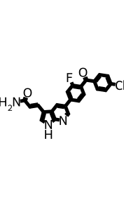 NC(=O)C=Cc1c[nH]c2ncc(-c3ccc(C(=O)c4ccc(Cl)cc4)c(F)c3)cc12